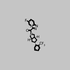 O=C(c1nnc2ccc(F)cn12)N1C[C@H]2C[C@H](c3ccccc3C(F)(F)F)C[C@H]2C1